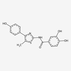 Cc1sc(NC(=O)c2ccc(O)c(O)c2)nc1-c1ccc(O)cc1